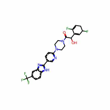 O=C(C(O)C1=CC(F)CC=C1F)N1CCN(c2ccc(-c3nc4cc(C(F)(F)F)ccc4[nH]3)cn2)CC1